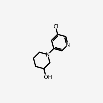 OC1CCCN(c2cncc(Cl)c2)C1